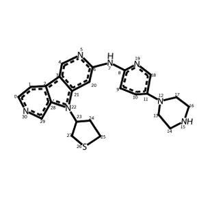 c1cc2c3cnc(Nc4ccc(N5CCNCC5)cn4)cc3n(C3CCSC3)c2cn1